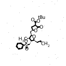 C=CC[C@@H]1O[C@H](C[C@H]2CC(C(=O)OC(C)(C)C)C(=O)O2)[C@H](C)[C@H]1CS(=O)(=O)c1ccccc1